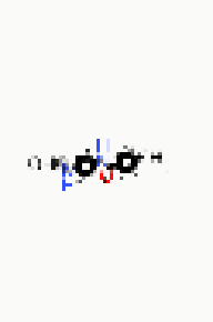 Cc1ccc(C(=O)Nc2ccc(NC=O)cc2)cc1